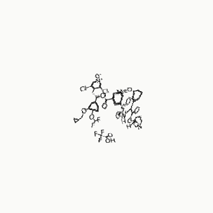 COc1cccc(C(NS(=O)(=O)c2cccc(C(=O)O[C@@H](Cc3c(Cl)c[n+]([O-])cc3Cl)c3ccc(OC(F)F)c(OCC4CC4)c3)c2)C(=O)O[C@H]2CN3CCC2CC3)c1.O=C(O)C(F)(F)F